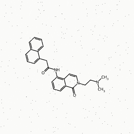 CN(C)CCn1ccc2c(NC(=O)Cc3cccc4ccccc34)cccc2c1=O